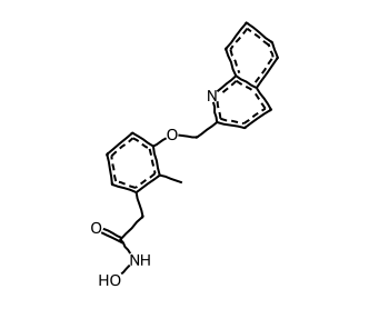 Cc1c(CC(=O)NO)cccc1OCc1ccc2ccccc2n1